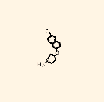 CN1CCC(Oc2ccc3cc(Cl)ccc3c2)CC1